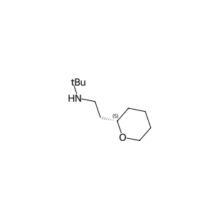 CC(C)(C)NCC[C@@H]1CCCCO1